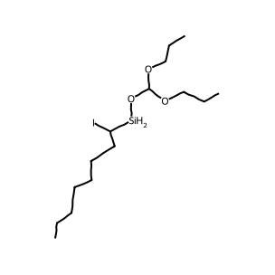 CCCCCCCC(I)[SiH2]OC(OCCC)OCCC